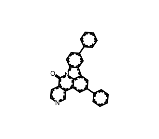 O=c1c2ccncc2c2cc(-c3ccccc3)cc3c4cc(-c5ccccc5)ccc4n1c23